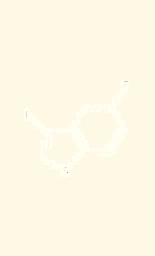 Fc1ccc2scc(I)c2c1